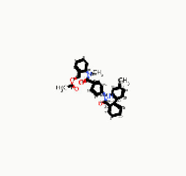 CC(=O)OCc1ccccc1N(C)C(=O)c1ccc(NC(=O)c2ccccc2-c2ccc(C)cc2)cc1